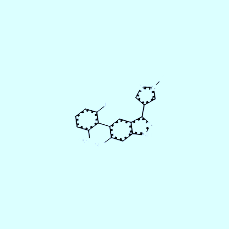 COc1cccc(F)c1-c1cc2c(-c3cnn(C)c3)n[nH]c2cc1C#N